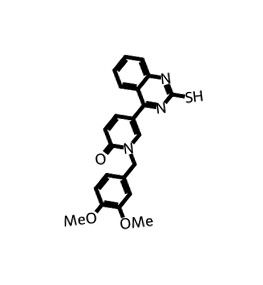 COc1ccc(Cn2cc(-c3nc(S)nc4ccccc34)ccc2=O)cc1OC